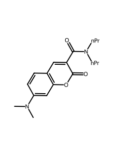 CCCN(CCC)C(=O)c1cc2ccc(N(C)C)cc2oc1=O